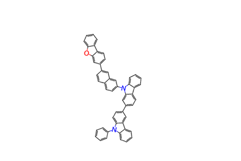 c1ccc(-n2c3ccccc3c3cc(-c4ccc5c6ccccc6n(-c6ccc7ccc(-c8ccc9c(c8)oc8ccccc89)cc7c6)c5c4)ccc32)cc1